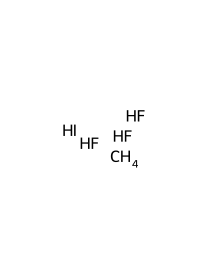 C.F.F.F.I